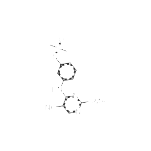 CSc1ncc(C#N)c(Nc2cccc(N=S(C)(C)=O)c2)n1